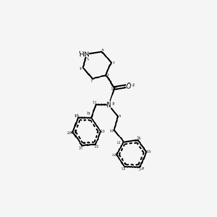 O=C(C1CCNCC1)N(CCc1ccccc1)Cc1ccccc1